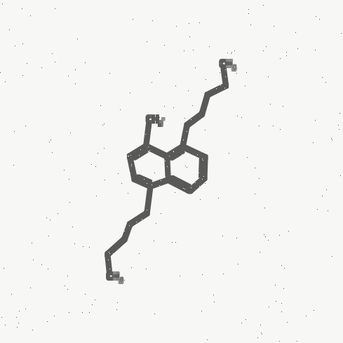 [CH2]c1ccc(CCCCC)c2cccc(CCCCC)c12